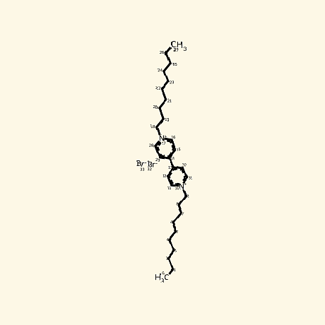 CCCCCCCCCC[n+]1ccc(-c2cc[n+](CCCCCCCCCC)cc2)cc1.[Br-].[Br-]